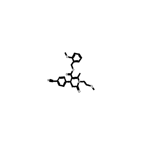 COCCN1C(=O)CC(c2ccc(C#N)cc2)C(C(=O)OCc2ccccc2OC)=C1C